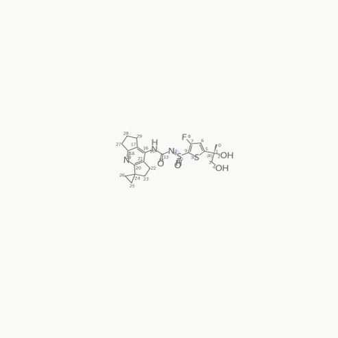 C[C@@](O)(CO)c1cc(F)c(/[SH](=O)=N/C(=O)Nc2c3c(nc4c2CCC42CC2)CCC3)s1